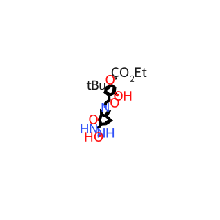 CCOC(=O)COc1cc(O)c(C(=O)CN2C=C3C=CC(C(=N)NO)C(=O)C3C2)cc1C(C)(C)C